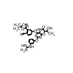 CC(O)C1Oc2nc(Oc3cccc(NC(=N)N)c3)nc(Oc3ccc(C#N)c(C(=O)OC(C)(C)C)c3)c2NC1=O